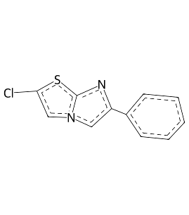 Clc1cn2cc(-c3ccccc3)nc2s1